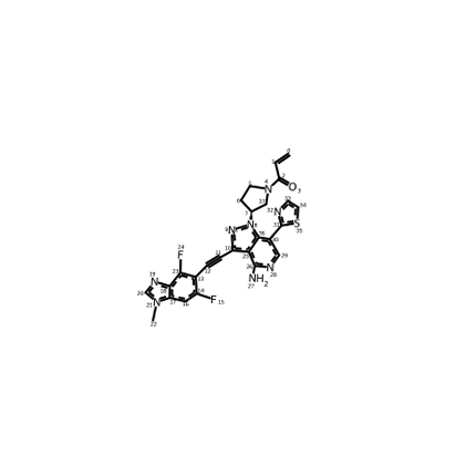 C=CC(=O)N1CC[C@H](n2nc(C#Cc3c(F)cc4c(ncn4C)c3F)c3c(N)ncc(-c4nccs4)c32)C1